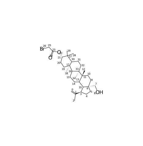 C=C(C)[C@@H]1CC[C@]2(CO)CC[C@]3(C)C(CCC4[C@@]5(C)CC[C@H](OC(=O)CBr)C(C)(C)C5CC[C@]43C)C12